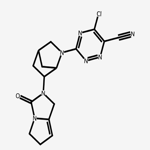 N#Cc1nnc(N2CC3CC(N4CC5=CCCN5C4=O)C2C3)nc1Cl